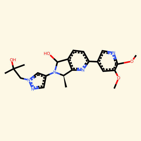 COc1cc(-c2ccc3c(n2)[C@@H](C)N(c2cnn(CC(C)(C)O)c2)C3O)cnc1OC